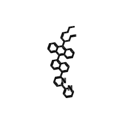 C=CCC(/C=C\CCC)c1c2ccccc2c(-c2cccc3c(-c4cccc(-c5ccccn5)n4)cccc23)c2ccccc12